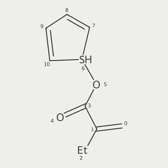 C=C(CC)C(=O)O[SH]1C=CC=C1